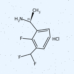 C[C@H](N)c1cccc(C(F)F)c1F.Cl